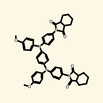 COc1ccc(N(c2ccc(N3C(=O)C4CCCCC4C3=O)cc2)c2ccc(N(c3ccc(OC)cc3)c3ccc(N4C(=O)C5CCCCC5C4=O)cc3)cc2)cc1